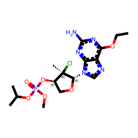 CCOc1nc(N)nc2c1ncn2[C@@H]1OC[C@@H](OP(=O)(OC)OC(C)C)[C@@]1(C)Cl